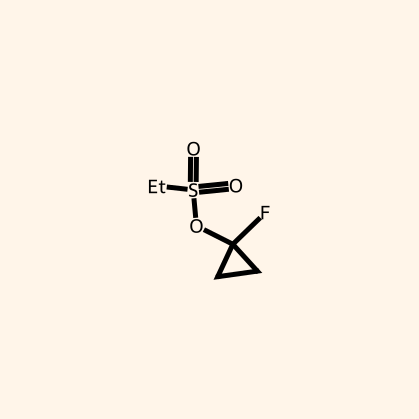 CCS(=O)(=O)OC1(F)CC1